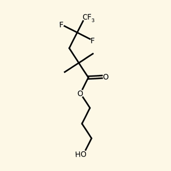 CC(C)(CC(F)(F)C(F)(F)F)C(=O)OCCCO